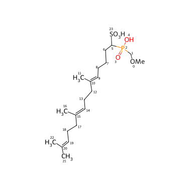 COCP(=O)(O)C(CCC/C=C(\C)CC/C=C(\C)CCC=C(C)C)S(=O)(=O)O